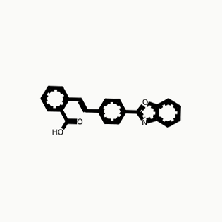 O=C(O)c1ccccc1C=Cc1ccc(-c2nc3ccccc3o2)cc1